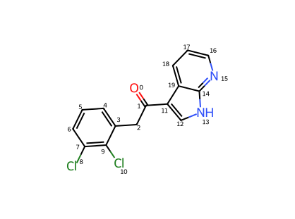 O=C(Cc1cccc(Cl)c1Cl)c1c[nH]c2ncccc12